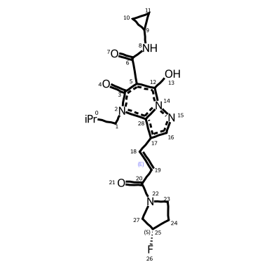 CC(C)Cn1c(=O)c(C(=O)NC2CC2)c(O)n2ncc(/C=C/C(=O)N3CC[C@H](F)C3)c12